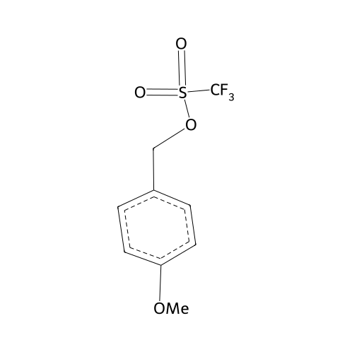 COc1ccc(COS(=O)(=O)C(F)(F)F)cc1